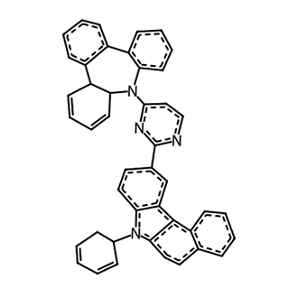 C1=CCC(n2c3ccc(-c4nccc(N5c6ccccc6-c6ccccc6C6C=CC=CC65)n4)cc3c3c4ccccc4ccc32)C=C1